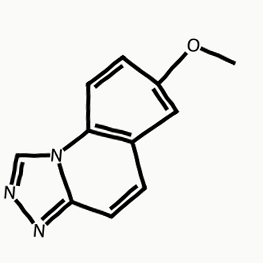 COc1ccc2c(ccc3nncn32)c1